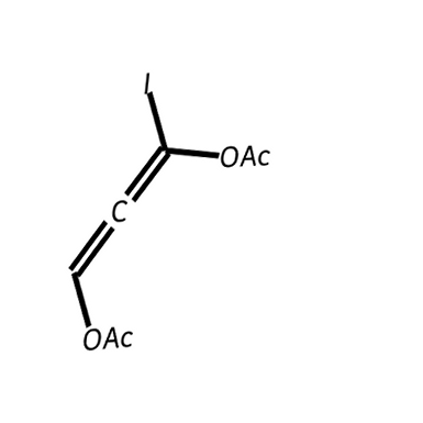 CC(=O)OC=C=C(I)OC(C)=O